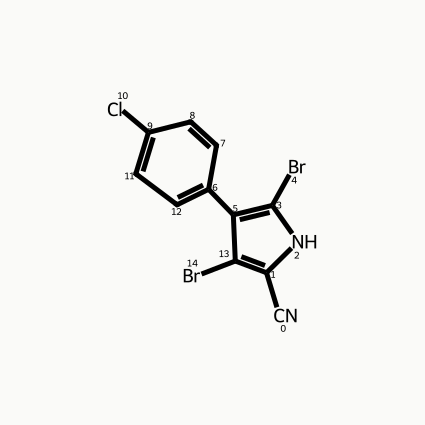 N#Cc1[nH]c(Br)c(-c2ccc(Cl)cc2)c1Br